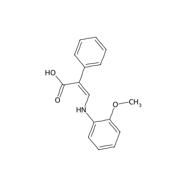 COc1ccccc1NC=C(C(=O)O)c1ccccc1